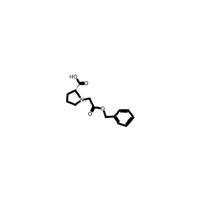 O=C(CN1CCC[C@@H]1C(=O)O)OCc1ccccc1